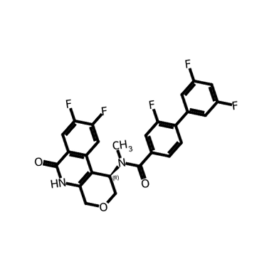 CN(C(=O)c1ccc(-c2cc(F)cc(F)c2)c(F)c1)[C@H]1COCc2[nH]c(=O)c3cc(F)c(F)cc3c21